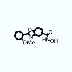 COc1ccccc1-c1nc2cc(C(=O)NO)ccc2o1